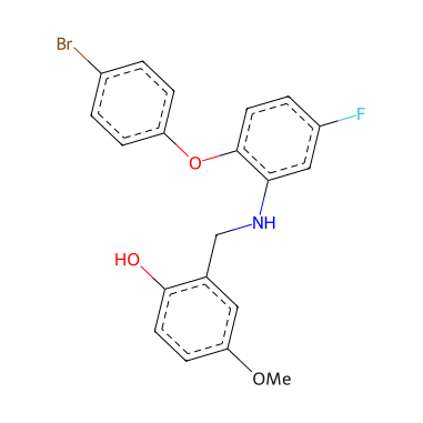 COc1ccc(O)c(CNc2cc(F)ccc2Oc2ccc(Br)cc2)c1